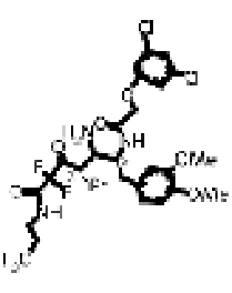 COc1ccc(C[C@H](NC(=O)COc2cc(Cl)cc(Cl)c2)C(N)[C@@H](C(=O)C(F)(F)C(=O)NCCC(F)(F)F)C(C)C)cc1OC